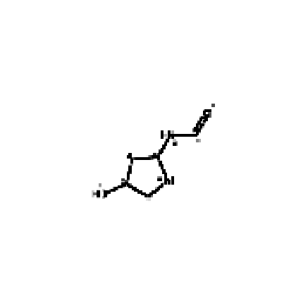 O=CNC1CC(O)CN1